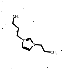 CCCC[n+]1ccn(CCC)c1